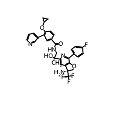 C[C@](O)(CNC(=O)c1ccc(OC2CC2)c(-c2cccnc2)c1)c1cc2c(c(-c3ccc(F)cc3)n1)OC[C@@]2(N)C(F)(F)F